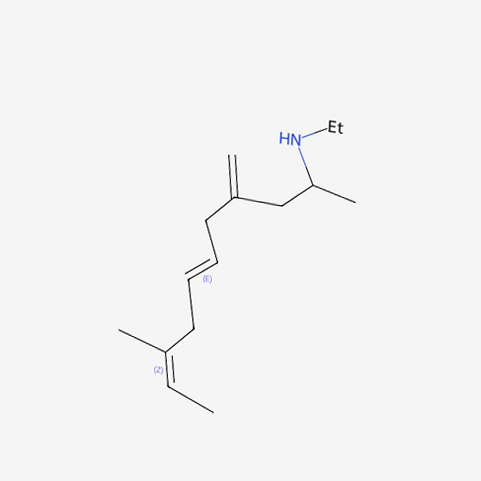 C=C(C/C=C/C/C(C)=C\C)CC(C)NCC